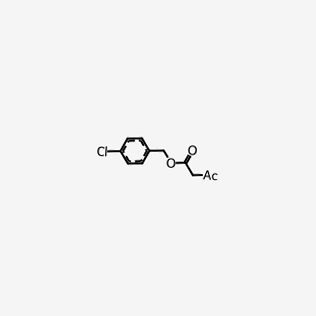 CC(=O)CC(=O)OCc1ccc(Cl)cc1